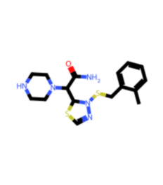 Cc1ccccc1CSN1N=CSC1C(C(N)=O)N1CCNCC1